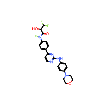 O=C(C(O)C(F)F)N(F)c1ccc(-c2ccnc(Nc3ccc(N4CCOCC4)cc3)n2)cc1